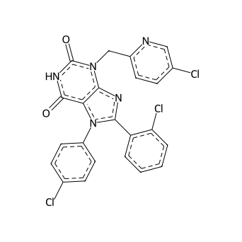 O=c1[nH]c(=O)n(Cc2ccc(Cl)cn2)c2nc(-c3ccccc3Cl)n(-c3ccc(Cl)cc3)c12